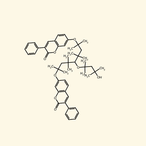 CC(C)(O)CC(C)(C)OC(C(C)(C)CC(C)(C)Oc1ccc2cc(-c3ccccc3)c(=O)oc2c1)C(C)(C)CC(C)(C)Oc1ccc2cc(-c3ccccc3)c(=O)oc2c1